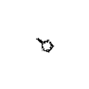 S=c1sccs1